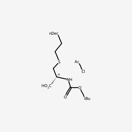 CC(=O)Cl.CCCCCCCCCCCCSC[C@H](NC(=O)OC(C)(C)C)C(=O)O